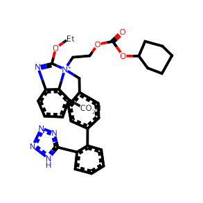 CCOC1=Nc2cccc(C(=O)O)c2[N+]1(CCOC(=O)OC1CCCCC1)Cc1ccc(-c2ccccc2-c2nnn[nH]2)cc1